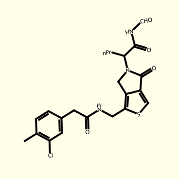 CCCC(C(=O)NC=O)N1Cc2c(csc2CNC(=O)Cc2ccc(C)c(Cl)c2)C1=O